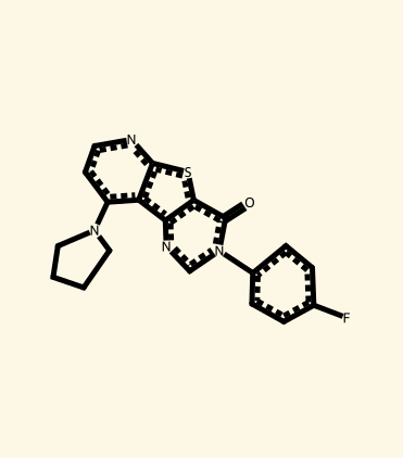 O=c1c2sc3nccc(N4CCCC4)c3c2ncn1-c1ccc(F)cc1